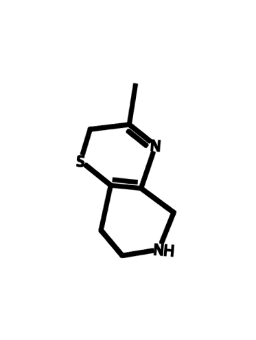 CC1=NC2=C(CCNC2)SC1